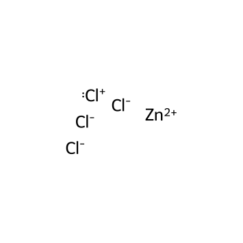 [Cl+].[Cl-].[Cl-].[Cl-].[Zn+2]